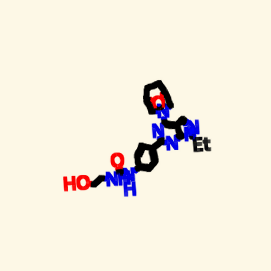 CCn1ncc2c(N3CC4CCC(C3)O4)nc(-c3ccc(NC(=O)NCCO)cc3)nc21